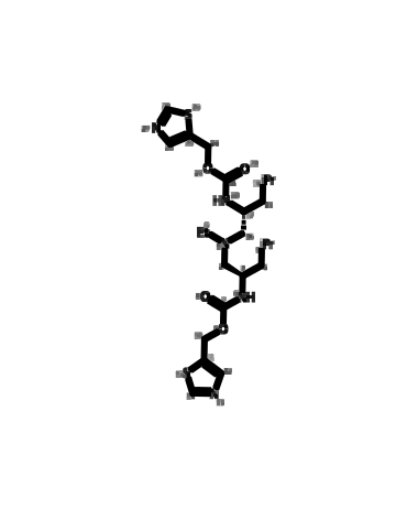 CCN(C[C@@H](CC(C)C)NC(=O)OCc1cncs1)C[C@@H](CC(C)C)NC(=O)OCc1cncs1